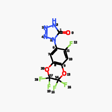 O=c1[nH]nnn1-c1cc2c(cc1F)OC(F)(F)C(F)(F)O2